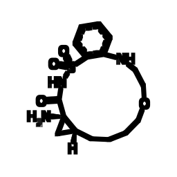 N[C@]12C[C@H]1CCCCOCCNc1ccccc1S(=O)(=O)NC2=O